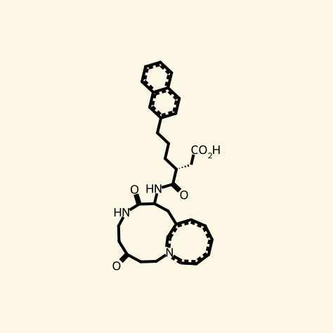 O=C(O)C[C@@H](CCCc1ccc2ccccc2c1)C(=O)NC1Cc2ccccccn(c2)CCC(=O)CCNC1=O